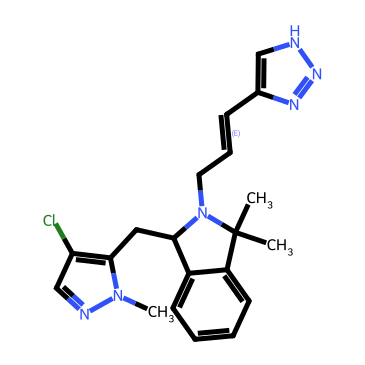 Cn1ncc(Cl)c1CC1c2ccccc2C(C)(C)N1C/C=C/c1c[nH]nn1